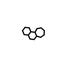 C1CC[C]2C(CC1)CCC1CCCCC21